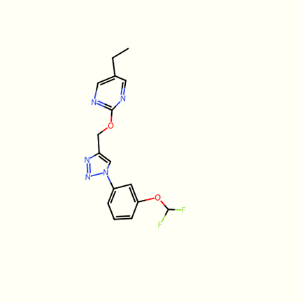 CCc1cnc(OCc2cn(-c3cccc(OC(F)F)c3)nn2)nc1